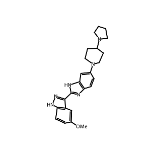 COc1ccc2[nH]nc(-c3nc4ccc(N5CCC(N6CCCC6)CC5)cc4[nH]3)c2c1